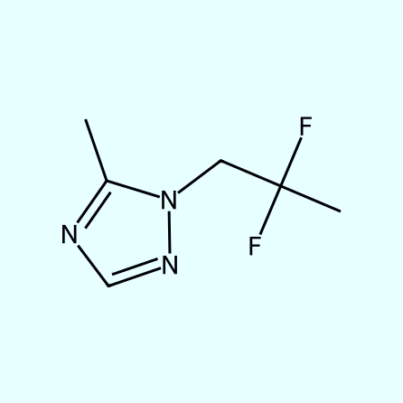 Cc1ncnn1CC(C)(F)F